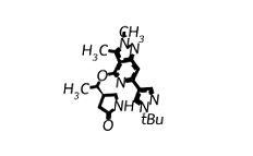 Cc1c2c(OC(C)[C@H]3CNC(=O)C3)nc(-c3cnn(C(C)(C)C)c3)cc2nn1C